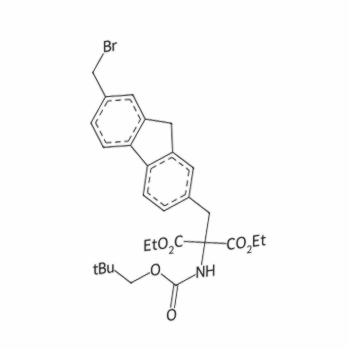 CCOC(=O)C(Cc1ccc2c(c1)Cc1cc(CBr)ccc1-2)(NC(=O)OCC(C)(C)C)C(=O)OCC